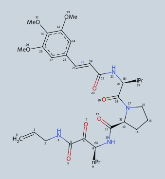 C=CCNC(=O)C(=O)[C@H](CCC)NC(=O)[C@@H]1CCCN1C(=O)[C@@H](NC(=O)/C=C/c1cc(OC)c(OC)c(OC)c1)C(C)C